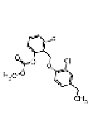 CCc1ccc(OCc2c(F)cccc2OC(=O)OC)c(Cl)c1